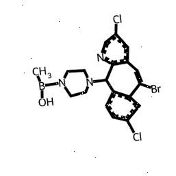 CB(O)N1CCN(C2c3ccc(Cl)cc3C(Br)=Cc3cc(Cl)cnc32)CC1